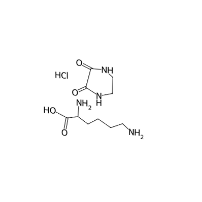 Cl.NCCCCC(N)C(=O)O.O=C1NCCNC1=O